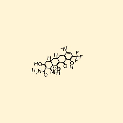 CN(C)c1cc(C(F)(F)F)c(O)c2c1C[C@H]1C[C@H]3CC(O)=C(C(N)=O)C(=N)[C@@]3(O)C(O)=C1C2=O